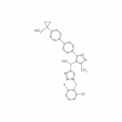 Cc1noc(-c2ccc(-c3ccc(C4(C(=O)O)CC4)cc3)cc2)c1C(O)c1cn(Cc2c(F)cccc2Cl)nn1